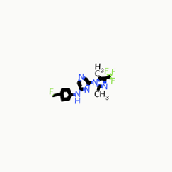 Cc1nc(C(F)(F)F)c(C)n1-c1cncc(Nc2ccc(CF)cc2)n1